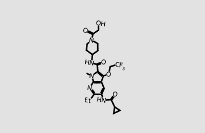 CCc1nc2c(cc1NC(=O)C1CC1)c(OCC(F)(F)F)c(C(=O)NC1CCN(C(=O)CO)CC1)n2C